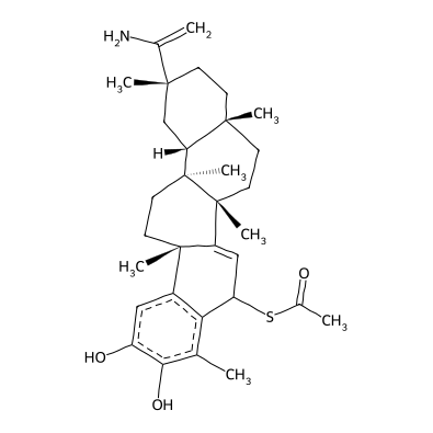 C=C(N)[C@]1(C)CC[C@]2(C)CC[C@]3(C)C4=CC(SC(C)=O)c5c(cc(O)c(O)c5C)[C@]4(C)CC[C@@]3(C)[C@@H]2C1